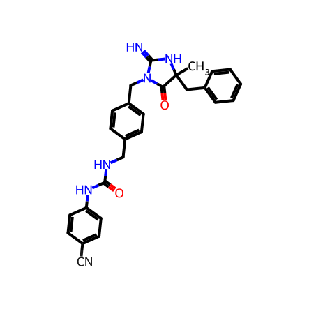 CC1(Cc2ccccc2)NC(=N)N(Cc2ccc(CNC(=O)Nc3ccc(C#N)cc3)cc2)C1=O